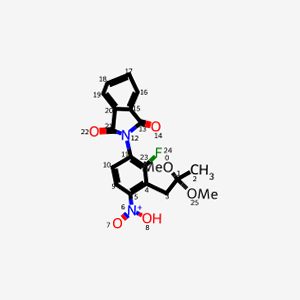 COC(C)(Cc1c([N+](=O)O)ccc(N2C(=O)c3ccccc3C2=O)c1F)OC